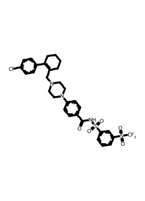 O=C(NS(=O)(=O)c1cccc(S(=O)(=O)C(F)(F)F)c1)c1ccc(N2CCN(CC3=C(c4ccc(Cl)cc4)CCCC3)CC2)cc1